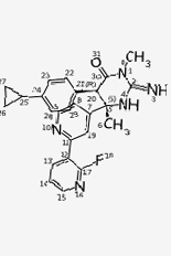 CN1C(=N)N[C@](C)(c2ccnc(-c3cccnc3F)c2)[C@@H](c2ccc(C3CC3)cc2)C1=O